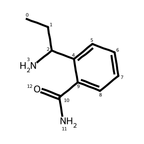 CCC(N)c1ccccc1C(N)=O